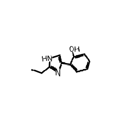 CCc1nc(-c2ccccc2O)c[nH]1